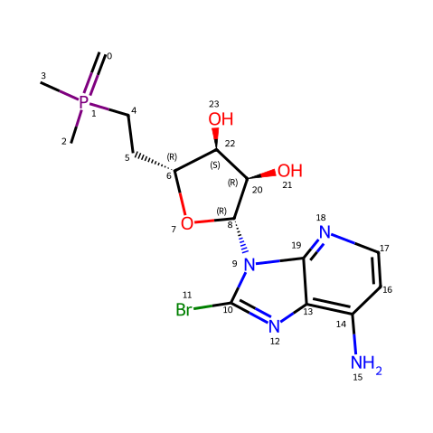 C=P(C)(C)CC[C@H]1O[C@@H](n2c(Br)nc3c(N)ccnc32)[C@H](O)[C@@H]1O